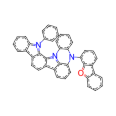 c1ccc(-n2c3ccccc3c3ccc4c5cccc6c5n(c4c32)-c2ccccc2N6c2cccc3c2oc2ccccc23)cc1